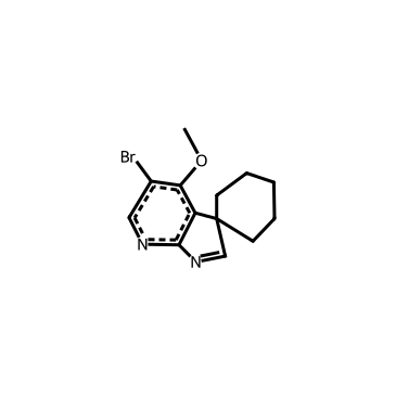 COc1c(Br)cnc2c1C1(C=N2)CCCCC1